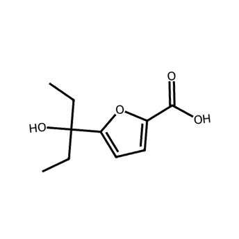 CCC(O)(CC)c1ccc(C(=O)O)o1